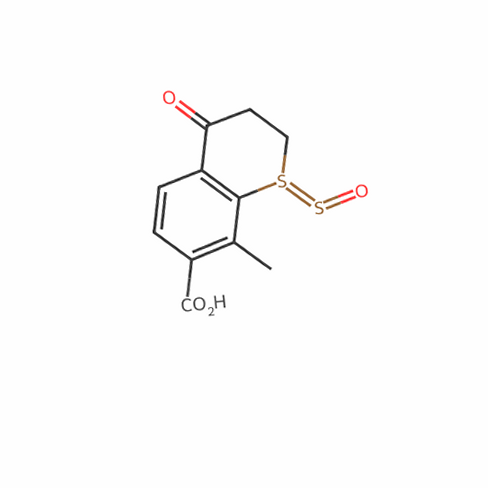 Cc1c(C(=O)O)ccc2c1S(=S=O)CCC2=O